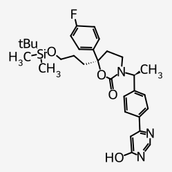 C[C@@H](c1ccc(-c2cc(O)ncn2)cc1)N1CC[C@](CCCO[Si](C)(C)C(C)(C)C)(c2ccc(F)cc2)OC1=O